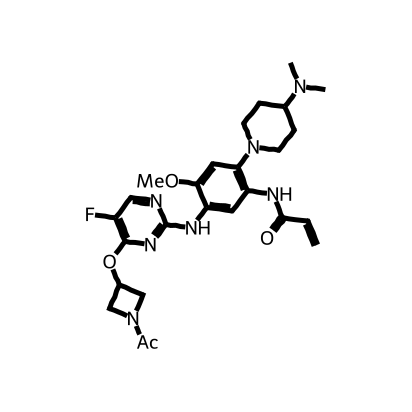 C=CC(=O)Nc1cc(Nc2ncc(F)c(OC3CN(C(C)=O)C3)n2)c(OC)cc1N1CCC(N(C)C)CC1